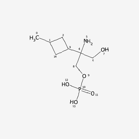 CC1CC(C(N)(CO)COP(=O)(O)O)C1